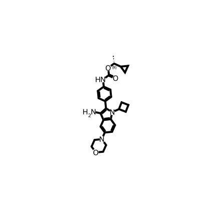 C[C@@H](OC(=O)Nc1ccc(-c2c(N)c3cc(N4CCOCC4)ccc3n2C2CCC2)cc1)C1CC1